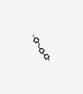 CCCNc1ccc(CCc2ccc(-c3ccc(C)cc3)cc2)cc1